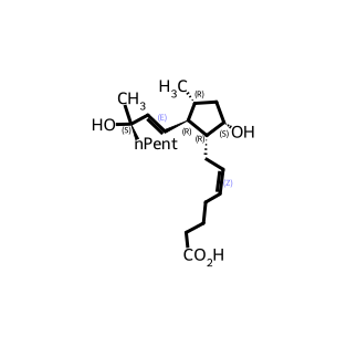 CCCCC[C@](C)(O)/C=C/[C@@H]1[C@@H](C/C=C\CCCC(=O)O)[C@@H](O)C[C@H]1C